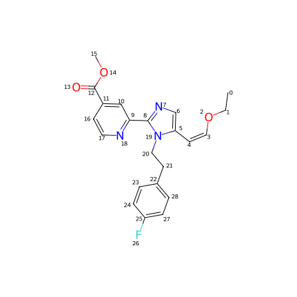 CCO/C=C\c1cnc(-c2cc(C(=O)OC)ccn2)n1CCc1ccc(F)cc1